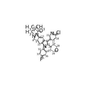 CC(C)(C)C(=O)n1ncc2cc3c(cc21)c(-c1ccc(Cl)nc1)c(C1CCOCC1)n3-c1ccc(F)cc1